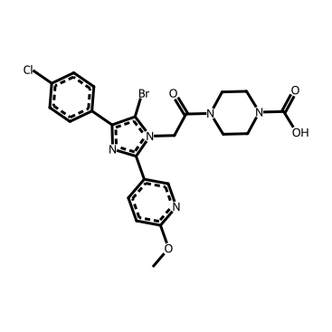 COc1ccc(-c2nc(-c3ccc(Cl)cc3)c(Br)n2CC(=O)N2CCN(C(=O)O)CC2)cn1